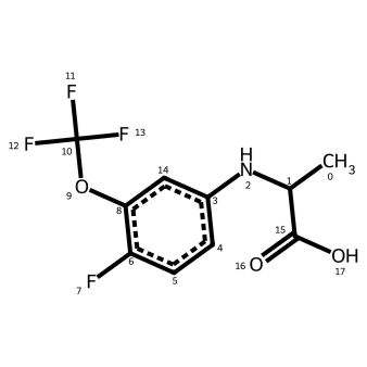 CC(Nc1ccc(F)c(OC(F)(F)F)c1)C(=O)O